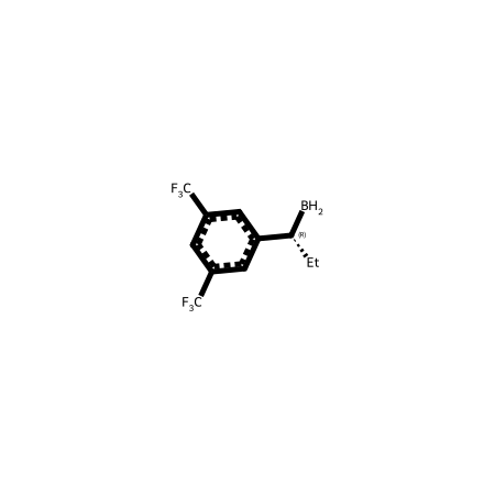 B[C@H](CC)c1cc(C(F)(F)F)cc(C(F)(F)F)c1